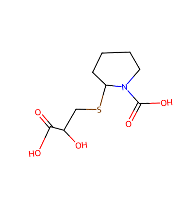 O=C(O)C(O)CSC1CCCCN1C(=O)O